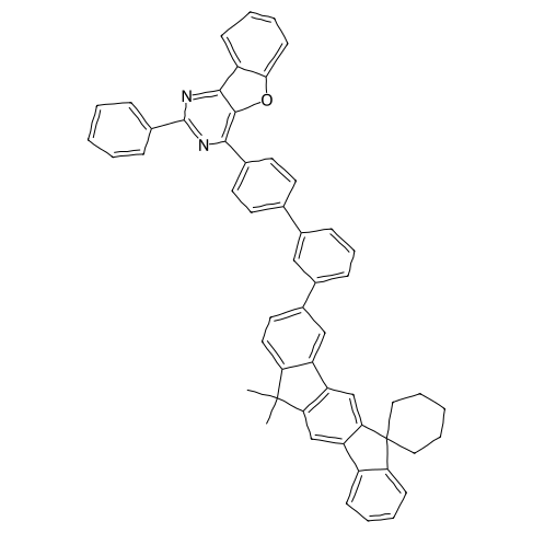 CC1(C)c2ccc(-c3cccc(-c4ccc(-c5nc(-c6ccccc6)nc6c5oc5ccccc56)cc4)c3)cc2-c2cc3c(cc21)-c1ccccc1C31CCCCC1